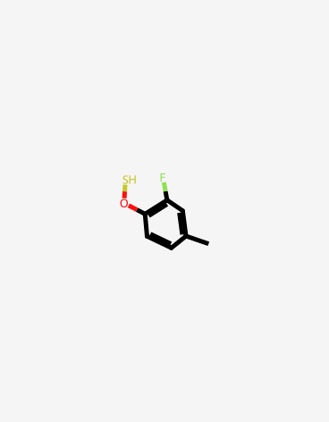 Cc1ccc(OS)c(F)c1